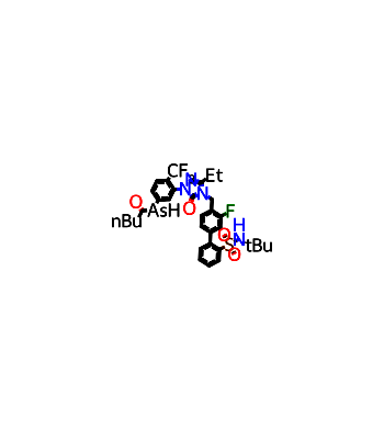 CCCCC(=O)[AsH]c1ccc(C(F)(F)F)c(-n2nc(CC)n(Cc3ccc(-c4ccccc4S(=O)(=O)NC(C)(C)C)cc3F)c2=O)c1